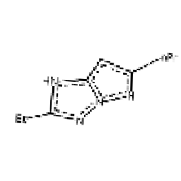 CCCc1cc2[nH]c(CC)nn2n1